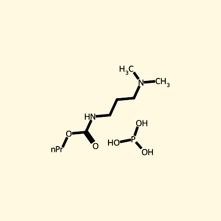 CCCOC(=O)NCCCN(C)C.OP(O)O